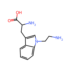 NCCn1cc(CC(N)C(=O)O)c2ccccc21